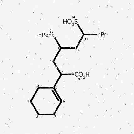 CCCCCC(CC(C(=O)O)C1=CCCCC1)CC(CCC)S(=O)(=O)O